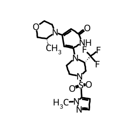 C[C@@H]1COCCN1c1cc(N2CCN(S(=O)(=O)c3ccnn3C)C[C@H]2C(F)(F)F)[nH]c(=O)c1